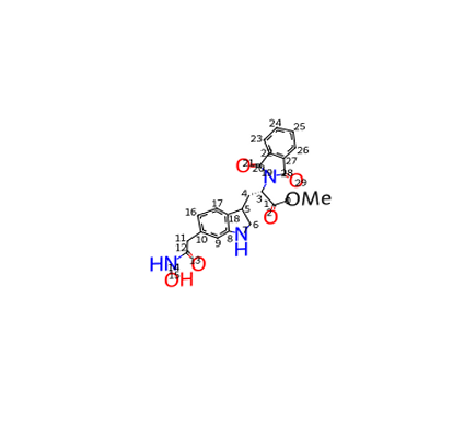 COC(=O)[C@H](CC1CNc2cc(CC(=O)NO)ccc21)N1C(=O)c2ccccc2C1=O